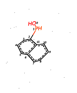 OPc1cccc2ccccc12